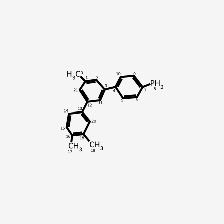 Cc1cc(-c2ccc(P)cc2)cc(-c2ccc(C)c(C)c2)c1